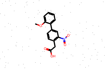 COc1ccccc1-c1ccc(CC(=O)O)c([N+](=O)[O-])c1